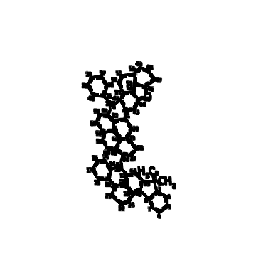 CC1(C)c2ccccc2-c2ccc(N(c3ccccc3-c3ccccc3)c3ccc4ccc5c(N(c6ccccc6)c6ccc7oc8cccc9ccc6c7c98)ccc6ccc3c4c65)cc21